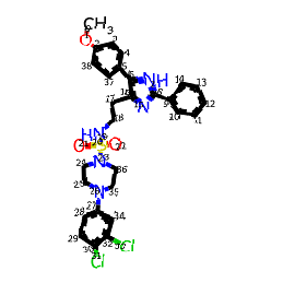 COc1ccc(-c2[nH]c(-c3ccccc3)nc2CCNS(=O)(=O)N2CCN(c3ccc(Cl)c(Cl)c3)CC2)cc1